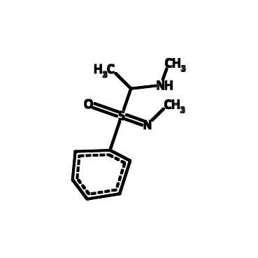 CN=S(=O)(c1ccccc1)C(C)NC